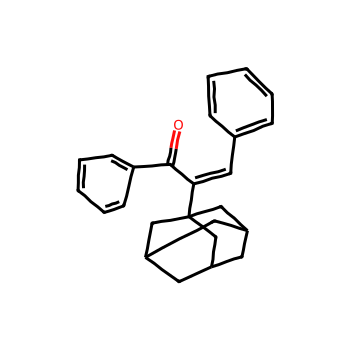 O=C(C(=Cc1ccccc1)C12CC3CC(CC(C3)C1)C2)c1ccccc1